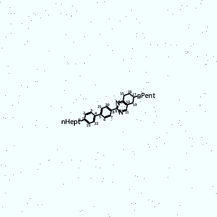 CCCCCCCc1ccc(-c2ccc(-c3ncc4c(n3)CCC(CCCCC)C4)cc2)cc1